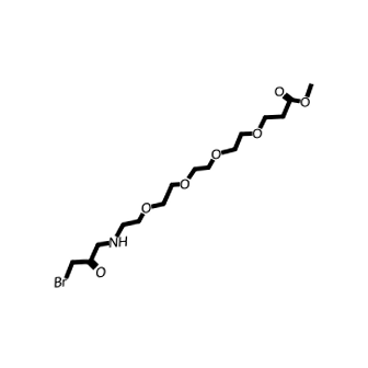 COC(=O)CCOCCOCCOCCOCCNCC(=O)CBr